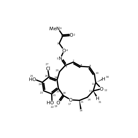 CNC(=O)CON=C1/C=C/C=C\[C@H]2O[C@@H]2C[C@@H](C)OC(=O)c2c(O)cc(O)c(Cl)c2C1